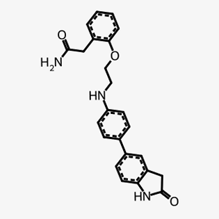 NC(=O)Cc1ccccc1OCCNc1ccc(-c2ccc3c(c2)CC(=O)N3)cc1